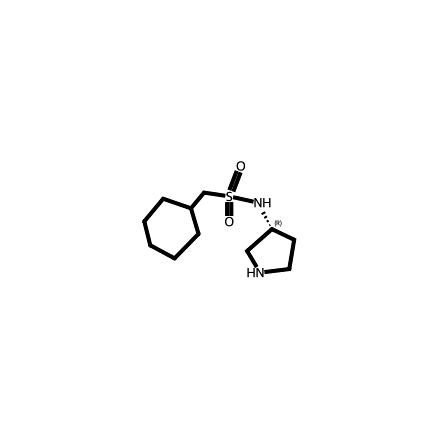 O=S(=O)(CC1CCCCC1)N[C@@H]1CCNC1